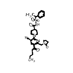 CCCCC(=O)c1cc(C#N)c(N2CCC(C(=O)NS(=O)(=O)C(C)c3ccccc3)CC2)nc1CN1CCCC1=O